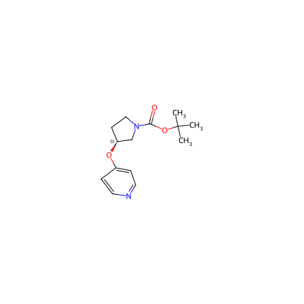 CC(C)(C)OC(=O)N1CC[C@H](Oc2ccncc2)C1